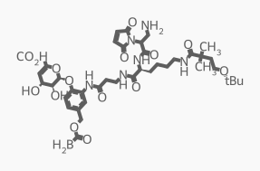 BC(=O)OCc1ccc(O[C@@H]2OC(C(=O)O)=C[C@H](O)[C@H]2O)c(NC(=O)CCNC(=O)[C@H](CCCCNC(=O)C(C)(C)CCOC(C)(C)C)NC(=O)C(CN)N2C(=O)C=CC2=O)c1